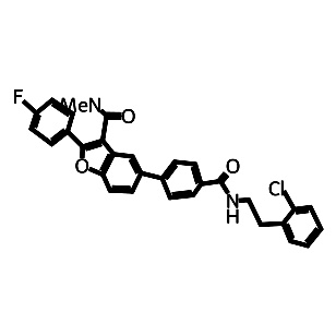 CNC(=O)c1c(-c2ccc(F)cc2)oc2ccc(-c3ccc(C(=O)NCCc4ccccc4Cl)cc3)cc12